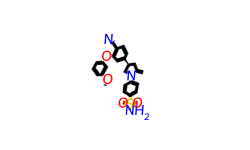 C=C1C[C@H](c2ccc(C#N)c(Oc3cccc(OC)c3)c2)CN1c1ccc(S(N)(=O)=O)cc1